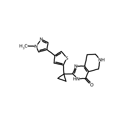 Cn1cc(-c2csc(C3(c4nc5c(c(=O)[nH]4)CNCC5)CC3)c2)cn1